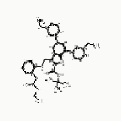 CCOC(=O)Cc1ccccc1OCc1c(C(=O)OC(C)(C)C)oc2c(-c3cccc(CN)c3)cc(-c3cccc(CN)c3)cc12